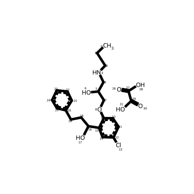 CCCNCC(O)COc1ccc(Cl)cc1C(O)CCc1ccccc1.O=C(O)C(=O)O